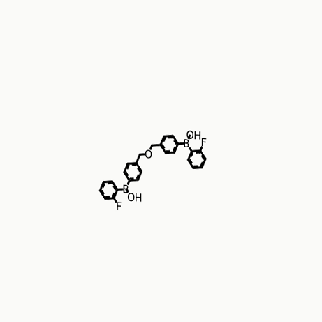 OB(c1ccc(COCc2ccc(B(O)c3ccccc3F)cc2)cc1)c1ccccc1F